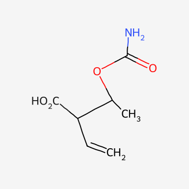 C=CC(C(=O)O)C(C)OC(N)=O